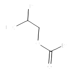 CC(C)C(C)COC(=O)Br